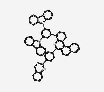 c1ccc2nc(-c3ccc(-c4nc5c(-c6cc(-n7c8ccccc8c8ccccc87)cc(-n7c8ccccc8c8ccccc87)c6)cccc5c5c4ccc4ccccc45)cc3)ncc2c1